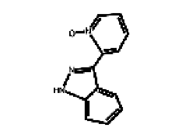 [O-][n+]1ccccc1-c1n[nH]c2ccccc12